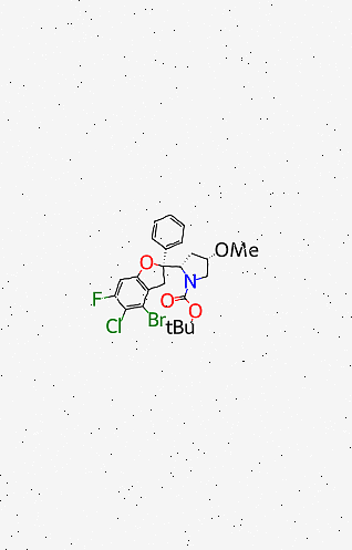 CO[C@H]1C[C@@H]([C@@]2(c3ccccc3)Cc3c(cc(F)c(Cl)c3Br)O2)N(C(=O)OC(C)(C)C)C1